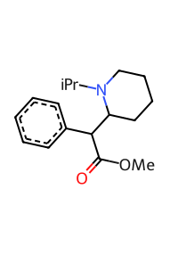 COC(=O)C(c1ccccc1)C1CCCCN1C(C)C